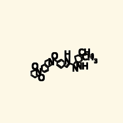 CC1(C)CCc2c(-c3cc4ccc(C(=O)N5CCc6cc(N7C(=O)CCCC7=O)ccc6C5)cc4[nH]3)n[nH]c2C1